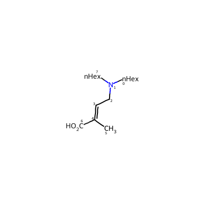 CCCCCCN(CC=C(C)C(=O)O)CCCCCC